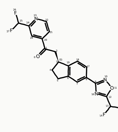 O=C(C[C@@H]1CCc2cc(-c3noc(C(F)F)n3)ccc21)c1ccnc(C(F)F)c1